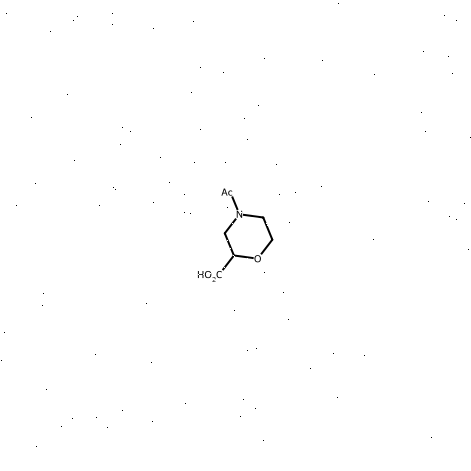 CC(=O)N1CCOC(C(=O)O)C1